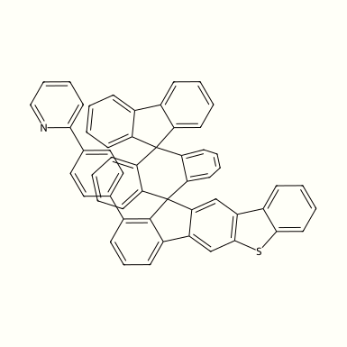 c1ccc(-c2ccc(-c3cccc4c3C3(c5cc6c(cc5-4)sc4ccccc46)c4ccccc4C4(c5ccccc5-c5ccccc54)c4ccccc43)cc2)nc1